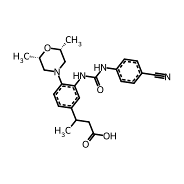 CC(CC(=O)O)c1ccc(N2C[C@@H](C)O[C@@H](C)C2)c(NC(=O)Nc2ccc(C#N)cc2)c1